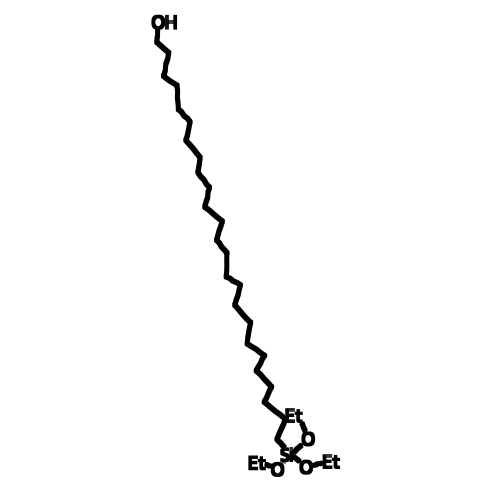 CCO[Si](CCCCCCCCCCCCCCCCCCCCCCCCCO)(OCC)OCC